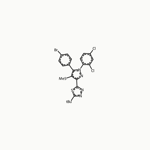 CSc1c(-c2nnc(C(C)(C)C)s2)nn(-c2ccc(Cl)cc2Cl)c1-c1ccc(Br)cc1